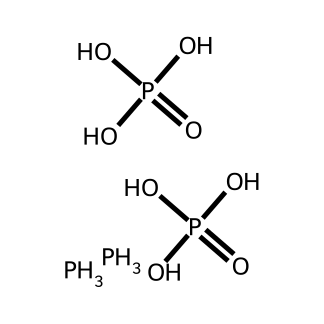 O=P(O)(O)O.O=P(O)(O)O.P.P